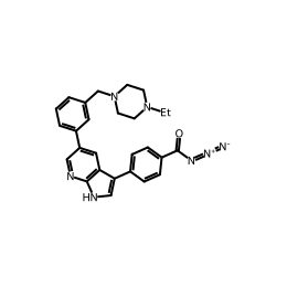 CCN1CCN(Cc2cccc(-c3cnc4[nH]cc(-c5ccc(C(=O)N=[N+]=[N-])cc5)c4c3)c2)CC1